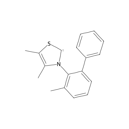 CC1=C(C)N(c2c(C)cccc2-c2ccccc2)[C]S1